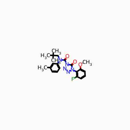 COc1cccc(F)c1-n1nnn(C(=O)N(CC(C)(C)C)c2cccc(C)c2)c1=O